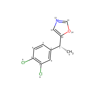 C[C@H](c1ccc(Cl)c(Cl)c1)c1cnco1